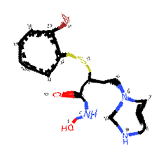 O=C(NO)C(CN1C=CNC1)Sc1ccccc1Br